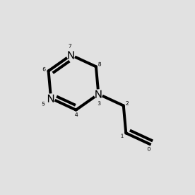 C=CCN1C=NC=NC1